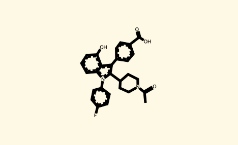 CC(=O)N1CCC(c2c(-c3ccc(C(=O)O)cc3)c3c(O)cccc3n2-c2ccc(F)cc2)CC1